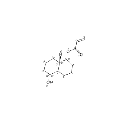 C=CC(=O)O[C@@H]1CCCC2[C@H](O)CCC[C@@H]21